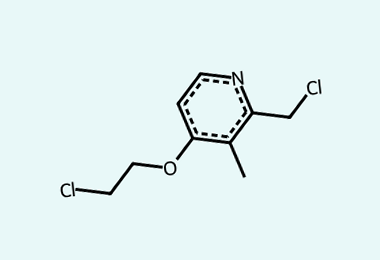 Cc1c(OCCCl)ccnc1CCl